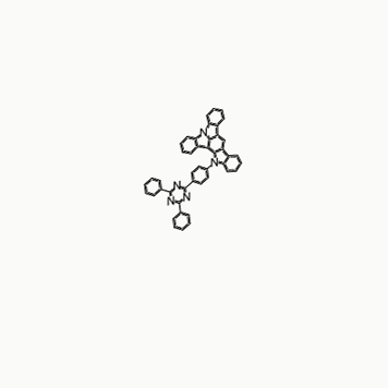 c1ccc(-c2nc(-c3ccccc3)nc(-c3ccc(-n4c5ccccc5c5cc6c7ccccc7n7c8ccccc8c(c54)c67)cc3)n2)cc1